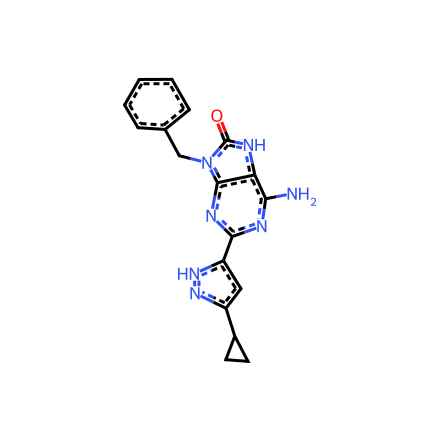 Nc1nc(-c2cc(C3CC3)n[nH]2)nc2c1[nH]c(=O)n2Cc1ccccc1